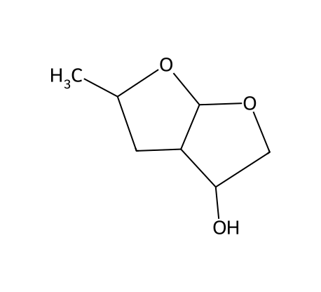 CC1CC2C(O)COC2O1